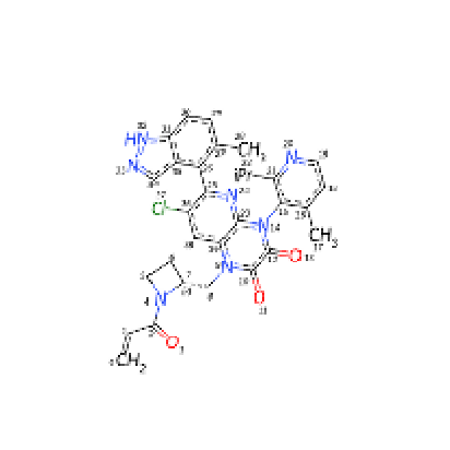 C=CC(=O)N1CC[C@@H]1Cn1c(=O)c(=O)n(-c2c(C)ccnc2C(C)C)c2nc(-c3c(C)ccc4[nH]ncc34)c(Cl)cc21